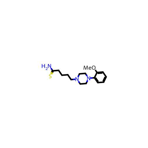 COc1ccccc1N1CCN(CCCCC(N)=S)CC1